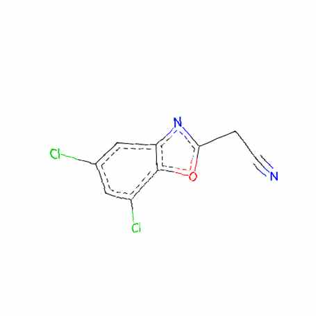 N#CCc1nc2cc(Cl)cc(Cl)c2o1